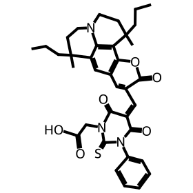 CCCC1(C)CCN2CCC(C)(CCC)c3c2c1cc1cc(/C=C2\C(=O)N(CC(=O)O)C(=S)N(c4ccccc4)C2=O)c(=O)oc31